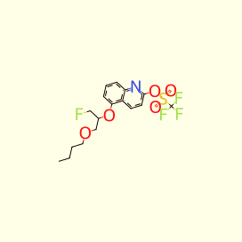 CCCCOCC(CF)Oc1cccc2nc(OS(=O)(=O)C(F)(F)F)ccc12